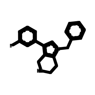 Fc1cccc(-c2cn(Cc3ccccc3)c3c2CNCC3)c1